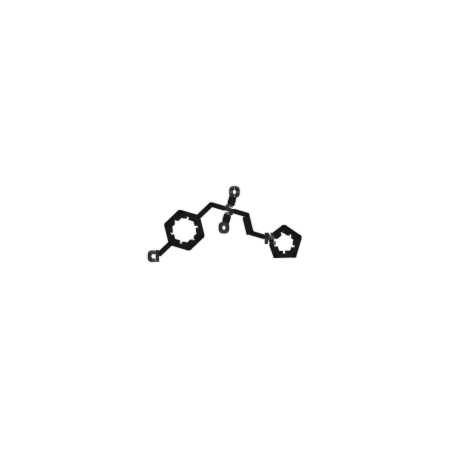 O=S(=O)(C=Cn1cccc1)Cc1ccc(Cl)cc1